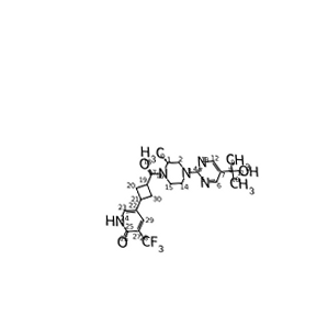 C[C@H]1CN(c2ncc(C(C)(C)O)cn2)CCN1C(=O)C1CC(c2c[nH]c(=O)c(C(F)(F)F)c2)C1